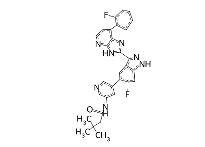 CC(C)(C)CC(=O)Nc1cncc(-c2cc3c(-c4nc5c(-c6ccccc6F)ccnc5[nH]4)n[nH]c3cc2F)c1